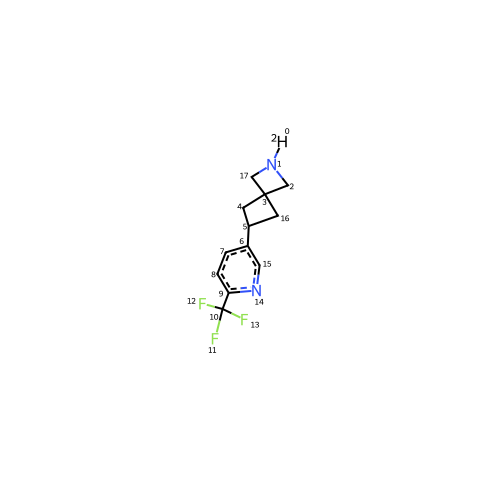 [2H]N1CC2(CC(c3ccc(C(F)(F)F)nc3)C2)C1